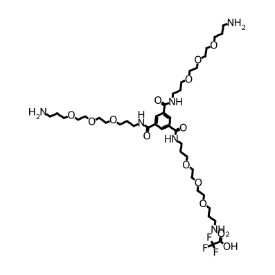 NCCCOCCOCCOCCCNC(=O)c1cc(C(=O)NCCCOCCOCCOCCCN)cc(C(=O)NCCCOCCOCCOCCCN)c1.O=C(O)C(F)(F)F